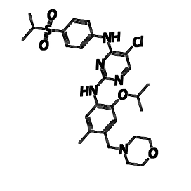 Cc1cc(Nc2ncc(Cl)c(Nc3ccc(S(=O)(=O)C(C)C)cc3)n2)c(OC(C)C)cc1CN1CCOCC1